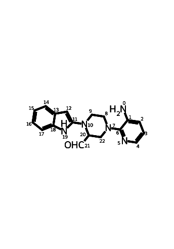 Nc1cccnc1N1CCN(c2cc3ccccc3[nH]2)C(C=O)C1